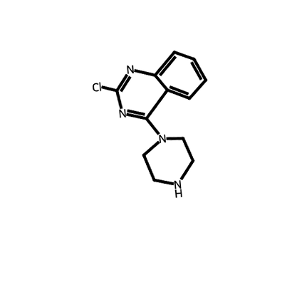 Clc1nc(N2CCNCC2)c2ccccc2n1